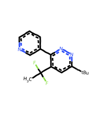 CC(C)(C)c1cc(C(C)(F)F)c(-c2cccnc2)nn1